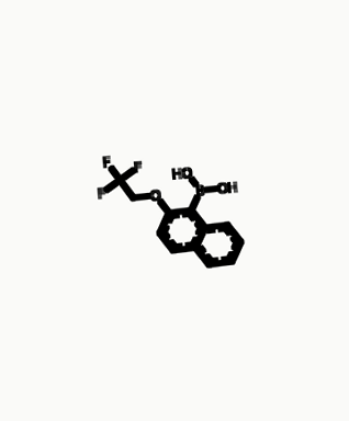 OB(O)c1c(OCC(F)(F)F)ccc2ccccc12